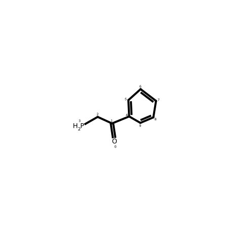 O=C(CP)c1ccccc1